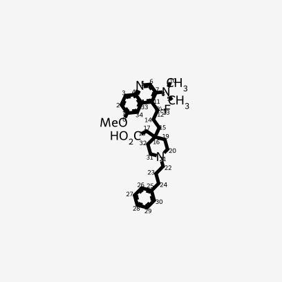 COc1ccc2ncc(N(C)C)c([C@H](F)CCC3(CC(=O)O)CCN(CCCc4ccccc4)CC3)c2c1